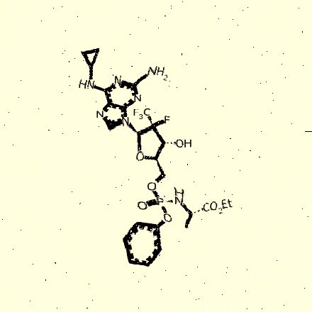 CCOC(=O)[C@H](C)N[P@](=O)(OC[C@H]1O[C@@H](n2cnc3c(NC4CC4)nc(N)nc32)[C@@](F)(C(F)(F)F)[C@@H]1O)Oc1ccccc1